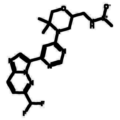 C[S+]([O-])NCC1CN(c2cc(-c3cnc4ccc(C(F)F)nn34)ncn2)C(C)(C)CO1